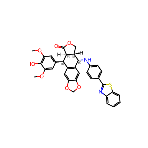 COc1cc([C@@H]2c3cc4c(cc3[C@@H](Nc3ccc(-c5nc6ccccc6s5)cc3)[C@H]3COC(=O)[C@H]23)OCO4)cc(OC)c1O